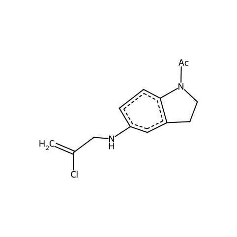 C=C(Cl)CNc1ccc2c(c1)CCN2C(C)=O